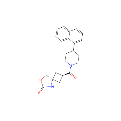 O=C1N[C@]2(CO1)C[C@H](C(=O)N1CCC(c3cccc4ccccc34)CC1)C2